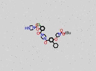 CC(C)(C)OC(=O)N1CC[C@H](Oc2ccc(C(=O)N3CCN(C(=O)c4cccc(Cl)c4OC(=O)N4CCNCC4)CC3)cc2C2CCCCC2)C1